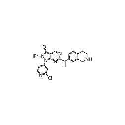 CC(C)n1c(=O)c2cnc(Nc3ccc4c(c3)CNCC4)nc2n1-c1ccnc(Cl)c1